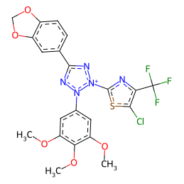 COc1cc(-n2nc(-c3ccc4c(c3)OCO4)n[n+]2-c2nc(C(F)(F)F)c(Cl)s2)cc(OC)c1OC